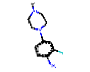 CC(=O)N1CCN(c2ccc(N)c(F)c2)CC1